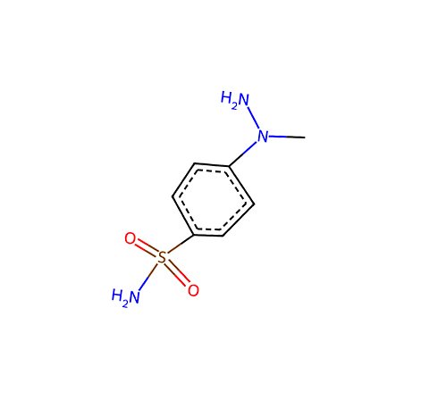 CN(N)c1ccc(S(N)(=O)=O)cc1